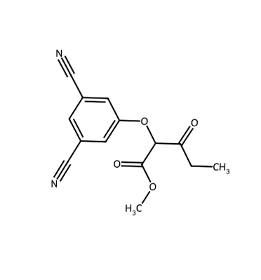 CCC(=O)C(Oc1cc(C#N)cc(C#N)c1)C(=O)OC